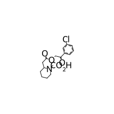 O=C(CC1CCCCN1C(=O)O)OCC(=O)c1cccc(Cl)c1